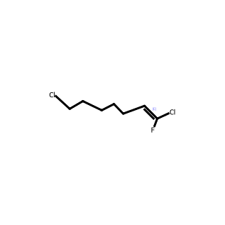 F/C(Cl)=C\CCCCCCl